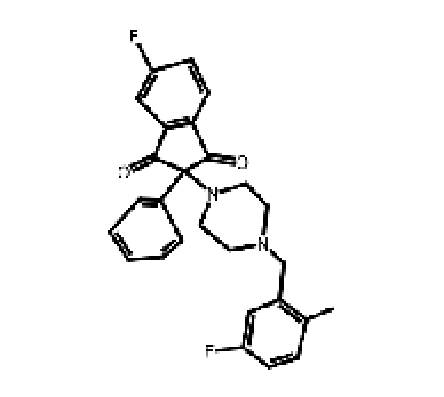 Cc1ccc(F)cc1CN1CCN(C2(c3ccccc3)C(=O)c3ccc(F)cc3C2=O)CC1